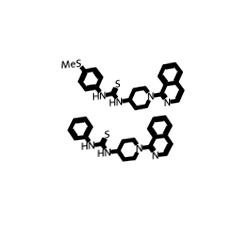 CSc1ccc(NC(=S)NC2CCN(c3nccc4ccccc34)CC2)cc1.S=C(Nc1ccccc1)NC1CCN(c2nccc3ccccc23)CC1